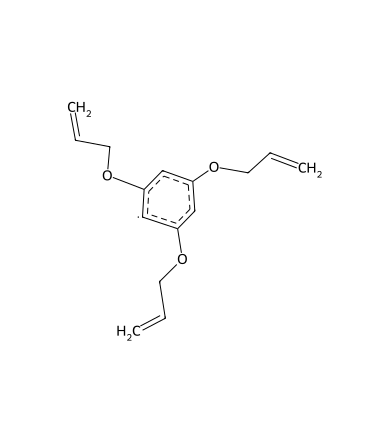 C=CCOc1[c]c(OCC=C)cc(OCC=C)c1